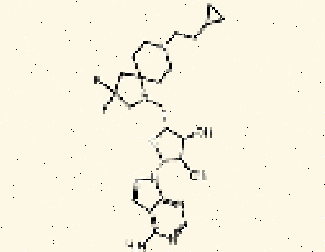 Nc1ncnc2c1ccn2[C@@H]1O[C@H](CN2CC(F)(F)CC23CCN(CCC2CC2)CC3)[C@@H](O)[C@H]1O